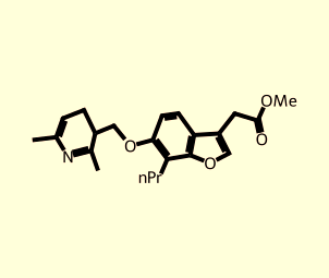 CCCc1c(OCC2CC=C(C)N=C2C)ccc2c(CC(=O)OC)coc12